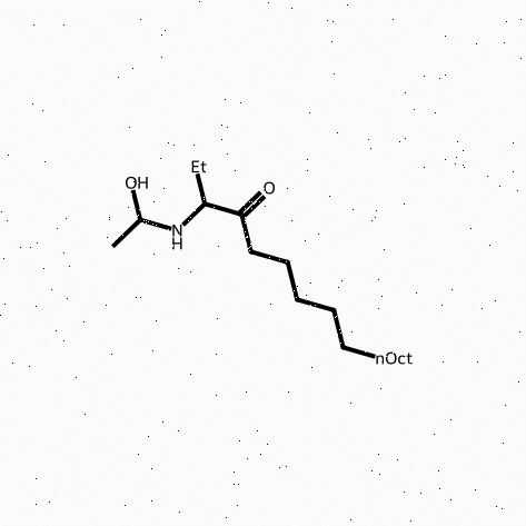 CCCCCCCCCCCCCC(=O)C(CC)NC(C)O